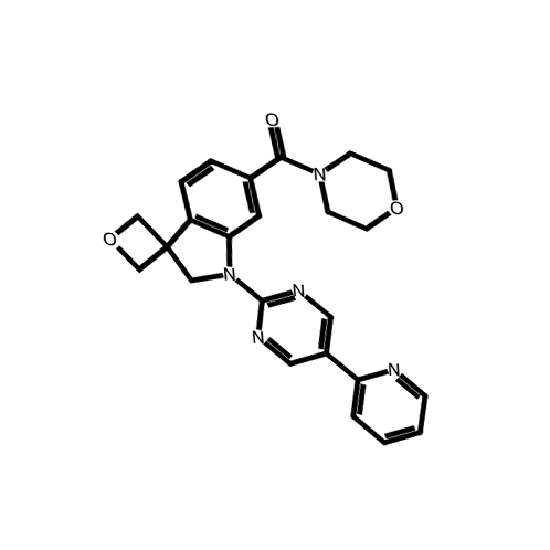 O=C(c1ccc2c(c1)N(c1ncc(-c3ccccn3)cn1)CC21COC1)N1CCOCC1